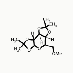 COC[C@H]1OC2OC(C)(C)O[C@@H]2[C@H]2OC(C)(C)O[C@H]21